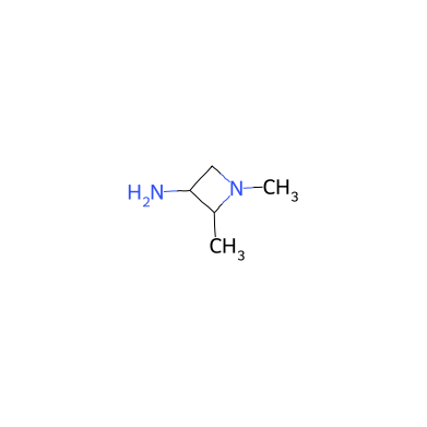 CC1C(N)CN1C